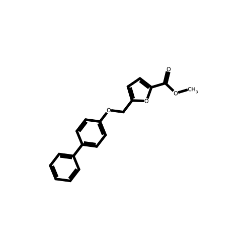 COC(=O)c1ccc(COc2ccc(-c3ccccc3)cc2)o1